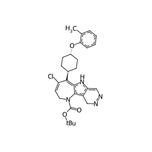 Cc1ccccc1O[C@H]1CC[C@H](C2=c3[nH]c4c(c3N(C(=O)OC(C)(C)C)CC=C2Cl)CN=NC=4)CC1